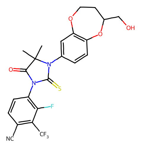 CC1(C)C(=O)N(c2ccc(C#N)c(C(F)(F)F)c2F)C(=S)N1c1ccc2c(c1)OCCC(CO)O2